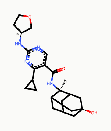 O=C(N[C@H]1C2CC3CC1C[C@@](O)(C3)C2)c1cnc(N[C@H]2CCOC2)nc1C1CC1